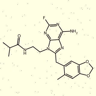 Cc1cc2c(cc1Cc1nc3c(N)nc(F)nc3n1CCNC(=O)C(C)C)OCO2